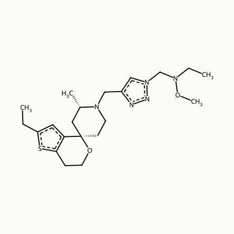 CCc1cc2c(s1)CCO[C@@]21CCN(Cc2cn(CN(CC)OC)nn2)[C@@H](C)C1